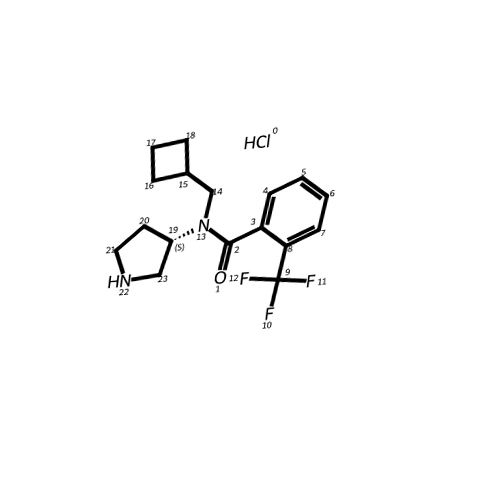 Cl.O=C(c1ccccc1C(F)(F)F)N(CC1CCC1)[C@H]1CCNC1